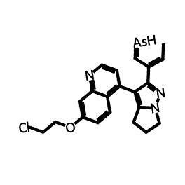 C/C=C(\C=[AsH])c1nn2c(c1-c1ccnc3cc(OCCCl)ccc13)CCC2